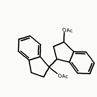 CC(=O)OC1CC(C2(OC(C)=O)CCc3ccccc32)c2ccccc21